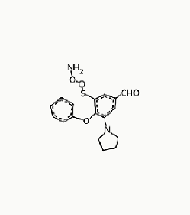 NOOSc1cc(C=O)cc(N2CCCC2)c1Oc1ccccc1